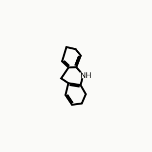 C1=CC2=C(CC1)NC1=CCCC=C1C2